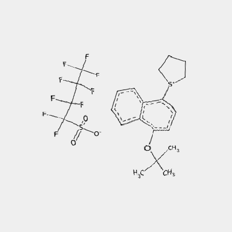 CC(C)(C)Oc1ccc([S+]2CCCC2)c2ccccc12.O=S(=O)([O-])C(F)(F)C(F)(F)C(F)(F)C(F)(F)F